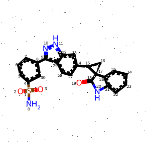 NS(=O)(=O)c1cccc(-c2n[nH]c3cc(C4C[C@@]45C(=O)Nc4ccccc45)ccc23)c1